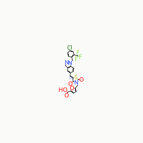 O=C(O)c1ccc(CN2C(=O)S/C(=C\c3ccc4c(cnn4Cc4ccc(Cl)cc4C(F)(F)F)c3)C2=O)o1